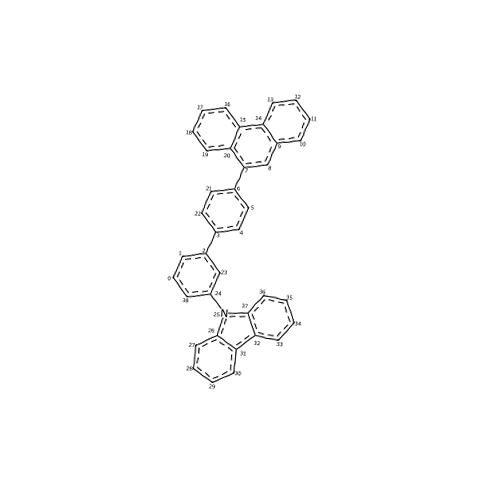 c1cc(-c2ccc(-c3cc4ccccc4c4ccccc34)cc2)cc(-n2c3ccccc3c3ccccc32)c1